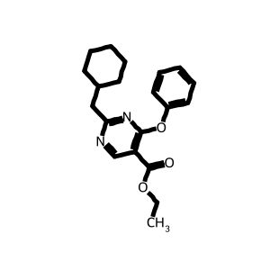 CCOC(=O)c1cnc(CC2CCCCC2)nc1Oc1ccccc1